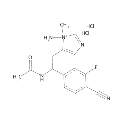 CC(=O)NC(CC1=CN=C[N+]1(C)N)c1ccc(C#N)c(F)c1.Cl.Cl